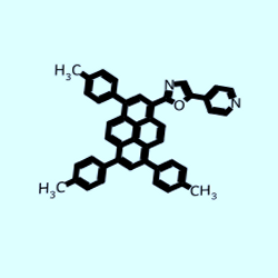 Cc1ccc(-c2cc(-c3ccc(C)cc3)c3ccc4c(-c5ncc(-c6ccncc6)o5)cc(-c5ccc(C)cc5)c5ccc2c3c54)cc1